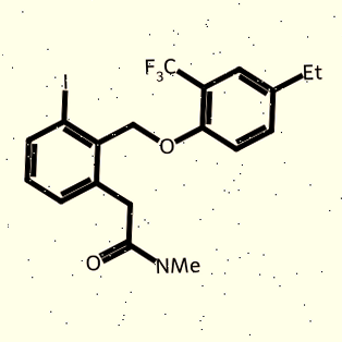 CCc1ccc(OCc2c(I)cccc2CC(=O)NC)c(C(F)(F)F)c1